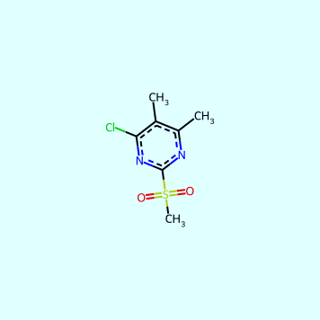 Cc1nc(S(C)(=O)=O)nc(Cl)c1C